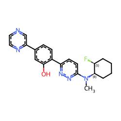 CN(c1ccc(-c2ccc(-c3cnccn3)cc2O)nn1)[C@@H]1CCCC[C@@H]1F